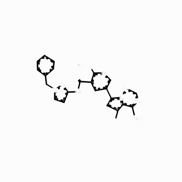 COc1ncc(-c2cc(C(F)(F)F)c3c(N)ncnn23)cc1C(=O)Nc1ccn(Cc2ccccc2)n1